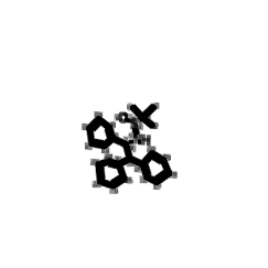 CC(C)(C)[S@@+]([O-])N[C@@H](c1ccccc1)C(c1ccccc1)c1ccccc1